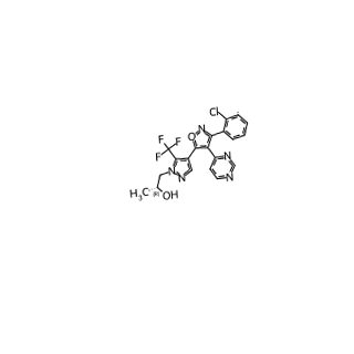 C[C@@H](O)Cn1ncc(-c2onc(-c3ccc[c]c3Cl)c2-c2ccncn2)c1C(F)(F)F